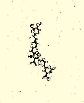 COC1=CC[C@@H]([C@@H](C)/C=C(C)/C=C\C=C/C(=O)N[C@H](C(=O)N/C=C\C[C@H](C/C=C(\C)Cl)OC(C)C)C(C)C)OC1=O